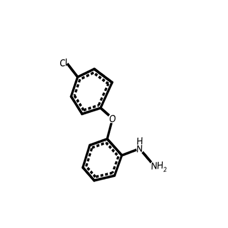 NNc1ccccc1Oc1ccc(Cl)cc1